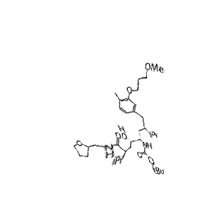 COCCCOc1cc(CC(C[C@H](NC(=O)OC(C)(C)C)[C@@H](O)C[C@H](C(=O)NCC2CCCO2)C(C)C)C(C)C)ccc1C